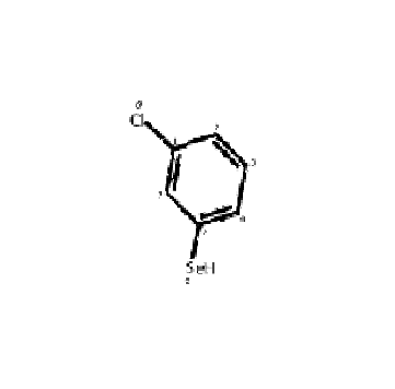 Clc1cccc([SeH])c1